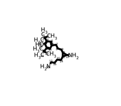 CC(C)(C)c1cc(CCCC2C(N)C2CCCCN)cc(C(C)(C)C)c1O